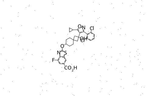 O=C(O)c1cc(F)c2nc(OC3CCC4(CC3)CC(O)(c3c(-c5c(Cl)cccc5Cl)noc3C3CC3)C4)sc2c1